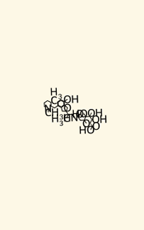 CC(CNC(=O)CC1O[C@H](C(=O)O)C(O)[C@H](O)C1O)C1Cc2c(CC3C(C)CCCN3C)ccc(O)c2O1